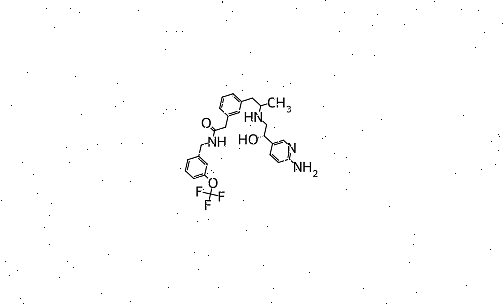 CC(Cc1cccc(CC(=O)NCc2cccc(OC(F)(F)F)c2)c1)NC[C@@H](O)c1ccc(N)nc1